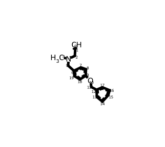 C#CCN(C)Cc1ccc(OCc2ccccc2)cc1